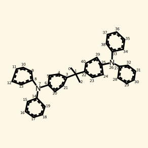 CC(C)(c1ccc(N(c2ccccc2)c2ccccc2)cc1)c1ccc(N(c2ccccc2)c2ccccc2)cc1